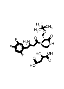 CC(C)(C)OC[C@@H]1C(=O)NCCN1C(=O)C[C@H](N)Cc1cc(F)c(F)cc1F.O=C(O)CC(O)C(=O)O